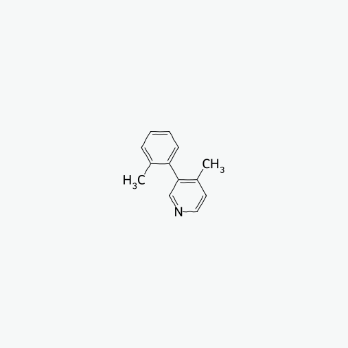 Cc1ccccc1-c1cnccc1C